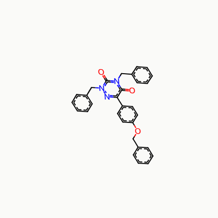 O=c1c(-c2ccc(OCc3ccccc3)cc2)nn(Cc2ccccc2)c(=O)n1Cc1ccccc1